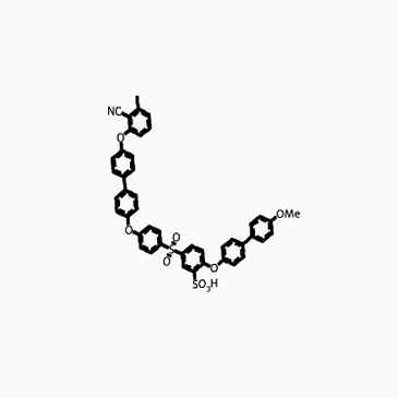 COc1ccc(-c2ccc(Oc3ccc(S(=O)(=O)c4ccc(Oc5ccc(-c6ccc(Oc7cccc(C)c7C#N)cc6)cc5)cc4)cc3S(=O)(=O)O)cc2)cc1